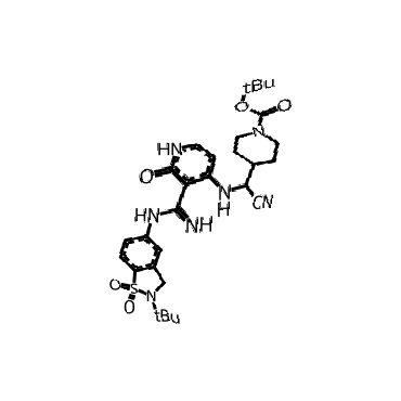 CC(C)(C)OC(=O)N1CCC(C(C#N)Nc2cc[nH]c(=O)c2C(=N)Nc2ccc3c(c2)CN(C(C)(C)C)S3(=O)=O)CC1